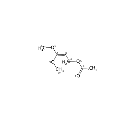 COC(=C[SiH2]OC(C)=O)OC